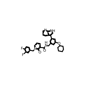 O=C(NCc1cc(OC2CCCCC2)cc(-c2c[nH]c3ncccc23)c1)c1cccn(Cc2ccc(F)c(F)c2)c1=O